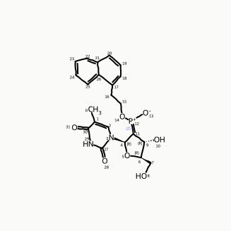 Cc1cn([C@@H]2O[C@H](CO)[C@@H](O)/C2=[P+](\[O-])OCCc2cccc3ccccc23)c(=O)[nH]c1=O